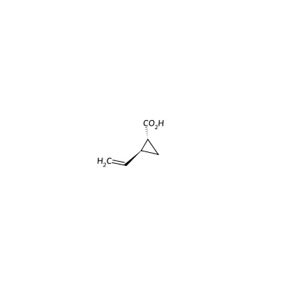 C=C[C@@H]1C[C@H]1C(=O)O